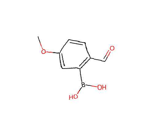 COc1ccc(C=O)c(B(O)O)c1